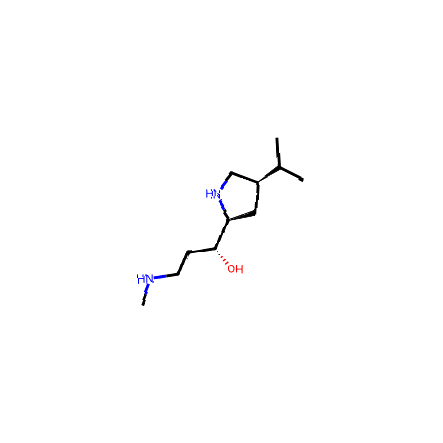 CNCC[C@@H](O)[C@@H]1C[C@H](C(C)C)CN1